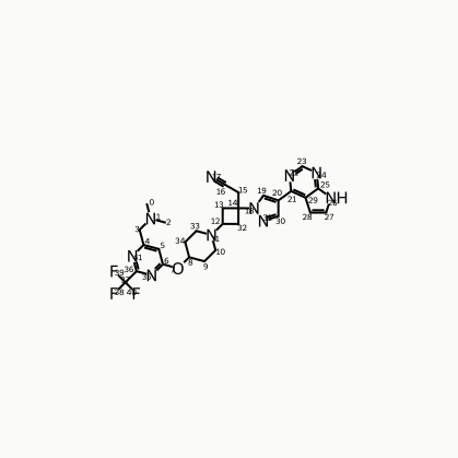 CN(C)Cc1cc(OC2CCN(C3CC(CC#N)(n4cc(-c5ncnc6[nH]ccc56)cn4)C3)CC2)nc(C(F)(F)F)n1